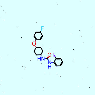 O=C(Nc1ccccc1I)N[C@H]1CC[C@@H](Oc2ccc(F)cc2)CC1